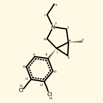 CCN1C[C@@]2(C)C[C@@]2(c2ccc(Cl)c(Cl)c2)C1